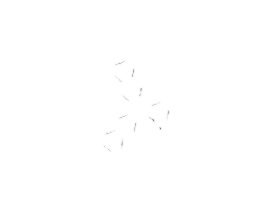 c1cnc(-c2ccc3ccccc3c2)c(-c2ccc3ccccc3c2)c1